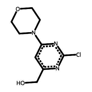 OCc1cc(N2CCOCC2)nc(Cl)n1